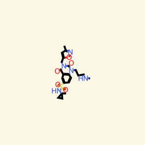 CNCCCn1c(=O)n(Cc2cc(C)no2)c(=O)c2cc(S(=O)(=O)NC3(C)CC3)ccc21